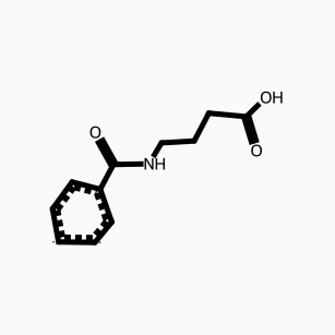 O=C(O)CCCNC(=O)c1c[c][c]cc1